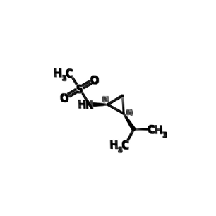 CC(C)[C@@H]1C[C@@H]1NS(C)(=O)=O